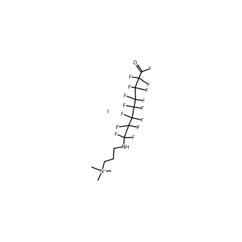 C[N+](C)(C)CCCNC(F)(F)C(F)(F)C(F)(F)C(F)(F)C(F)(F)C(F)(F)C(F)(F)C(=O)F.[I-]